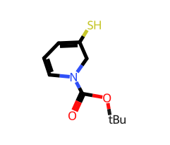 CC(C)(C)OC(=O)N1C=CC=C(S)C1